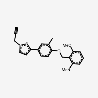 C#CCn1ccc(-c2ccc(OCc3c(NC)cccc3OC)c(C)c2)n1